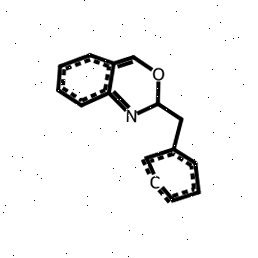 C1=c2ccccc2=NC(Cc2ccccc2)O1